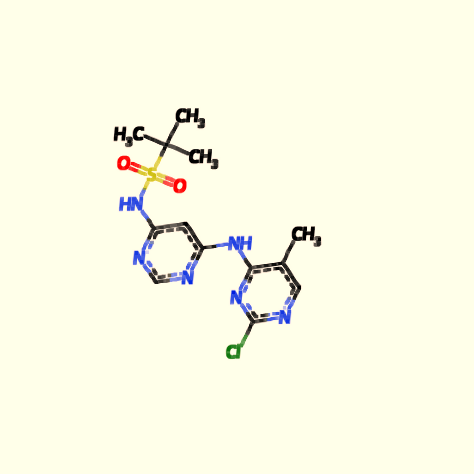 Cc1cnc(Cl)nc1Nc1cc(NS(=O)(=O)C(C)(C)C)ncn1